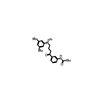 CCCN(CCCC(=O)c1cccc(NC(=O)C(C)(C)C)c1)c1cc(C(C)(C)C)cc(C(C)(C)C)c1